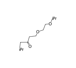 CC(C)CC(=O)CCOCCOC(C)C